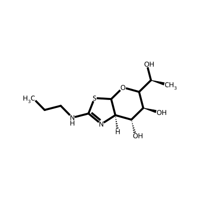 CCCNC1=N[C@H]2C(OC([C@H](C)O)[C@@H](O)[C@@H]2O)S1